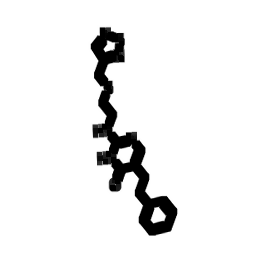 O=c1[nH]c(NCCSCc2cnsn2)ncc1CCc1ccccc1